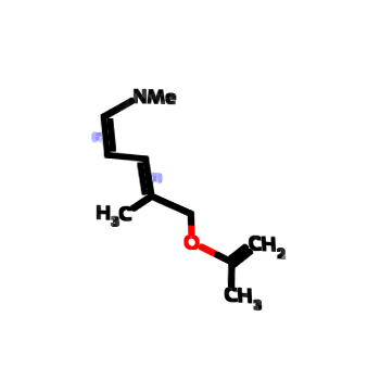 C=C(C)OC/C(C)=C/C=C\NC